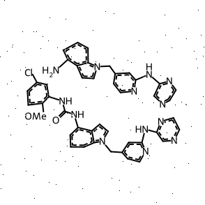 COc1ccc(Cl)cc1NC(=O)Nc1cccc2c1ccn2Cc1ccnc(Nc2cnccn2)c1.Nc1cccc2c1ccn2Cc1ccnc(Nc2cnccn2)c1